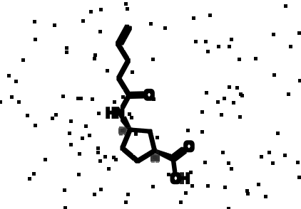 C=CCCC(=O)N[C@@H]1CC[C@H](C(=O)O)C1